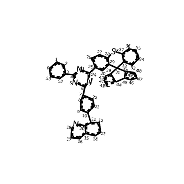 c1ccc(-c2nc(-c3ccc(-c4cccc5cccnc45)cc3)nc(-c3ccc4c(c3)C3(c5ccccc5S4)c4ccccc4-c4ccccc43)n2)cc1